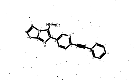 CCNc1c(-c2ccc(C#Cc3ccccc3)nc2)nc2sccn12